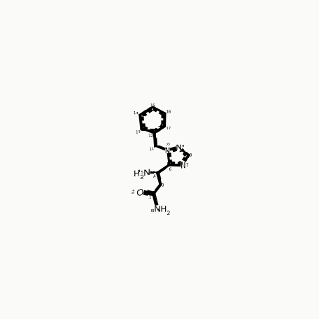 NC(=O)C[C@@H](N)c1ncnn1Cc1ccccc1